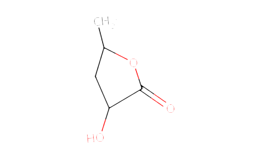 [CH2]C1CC(O)C(=O)O1